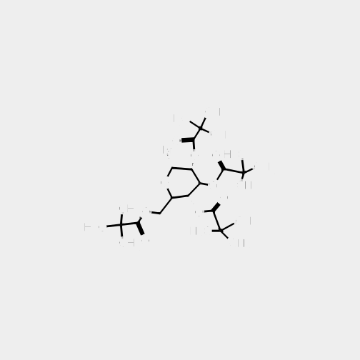 CC(C)(C)C(=O)OCC1O[C@H](Br)[C@H](OC(=O)C(C)(C)C)C(OC(=O)C(C)(C)C)[C@@H]1OC(=O)C(C)(C)C